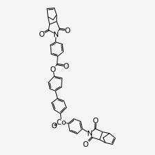 O=C(Oc1ccc(-c2cc[c]([Co](=[O])[c]3ccc(N4C(=O)C5C6C=CC(C6)C5C4=O)cc3)cc2)cc1)c1ccc(N2C(=O)C3C4C=CC(C4)C3C2=O)cc1